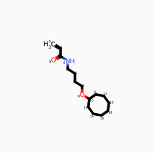 C=CC(=O)NCCCCOC1CCCCCCC1